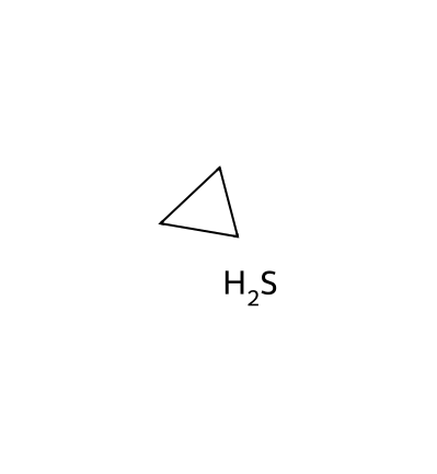 C1CC1.S